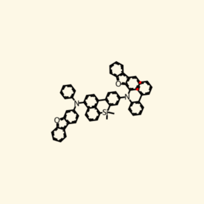 C[Si]1(C)c2cc(N(c3ccccc3-c3ccccc3)c3cccc4c3oc3ccccc34)ccc2-c2ccc(N(c3ccccc3)c3ccc4c(c3)oc3ccccc34)c3cccc1c23